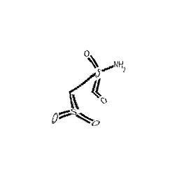 NS(=O)(=O)C=S(=O)=O